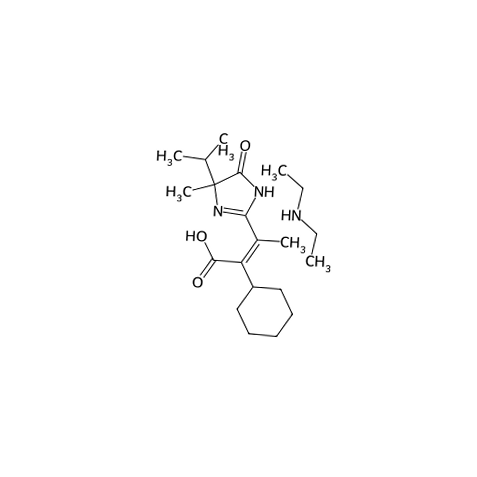 C/C(C1=NC(C)(C(C)C)C(=O)N1)=C(/C(=O)O)C1CCCCC1.CCNCC